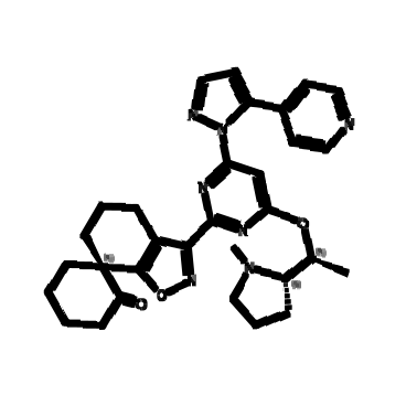 C[C@H](Oc1cc(-n2nccc2-c2ccncc2)nc(-c2noc3c2CCC[C@@]32CCCCC2=O)n1)[C@@H]1CCCN1C